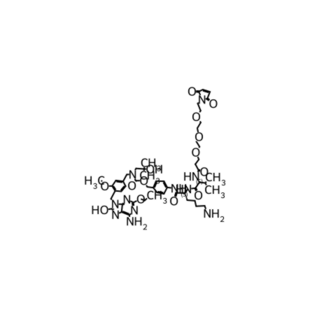 CCOc1nc(N)c2nc(O)n(Cc3ccc(CN(CC(C)(C)O)C(=O)OCc4ccc(NC(=O)[C@H](CCCCN)NC(=O)[C@@H](NC(=O)CCOCCOCCOCCN5C(=O)C=CC5=O)C(C)C)cc4)cc3OC)c2n1